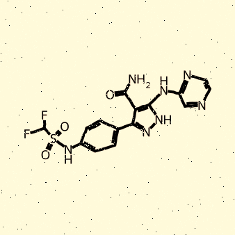 NC(=O)c1c(-c2ccc(NS(=O)(=O)C(F)F)cc2)n[nH]c1Nc1cnccn1